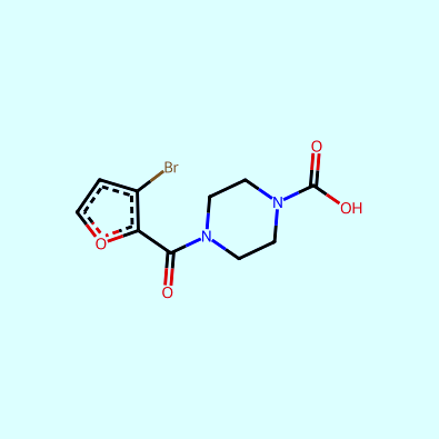 O=C(O)N1CCN(C(=O)c2occc2Br)CC1